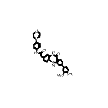 COc1cc(-c2ccc3c(c2)Nc2ccc(CC(=O)Nc4ccc(N5CCOCC5)cc4)cc2NC3=O)ccc1[N+](=O)[O-]